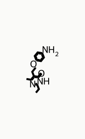 CCc1nc(C)c(CCOc2ccc(N)cc2)c(=O)[nH]1